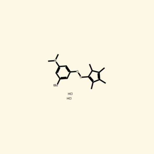 CC1=C(C)C(C)[C]([Ti][O]c2cc(N(C)C)cc(C(C)(C)C)c2)=C1C.Cl.Cl